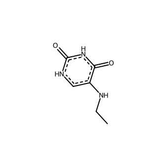 CCNc1c[nH]c(=O)[nH]c1=O